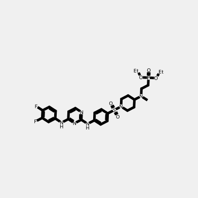 CCOP(=O)(CCN(C)C1CCN(S(=O)(=O)c2ccc(Nc3nccc(Nc4ccc(F)c(F)c4)n3)cc2)CC1)OCC